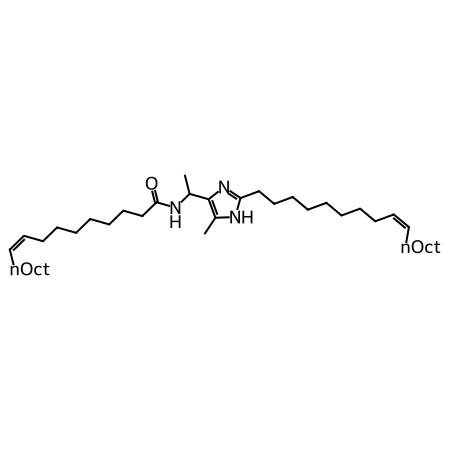 CCCCCCCC/C=C\CCCCCCCCc1nc(C(C)NC(=O)CCCCCCC/C=C\CCCCCCCC)c(C)[nH]1